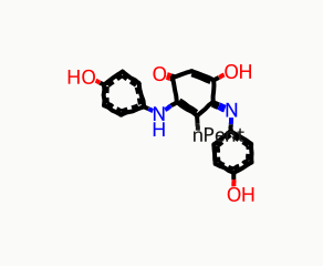 CCCCCC1=C(Nc2ccc(O)cc2)C(=O)C=C(O)C1=Nc1ccc(O)cc1